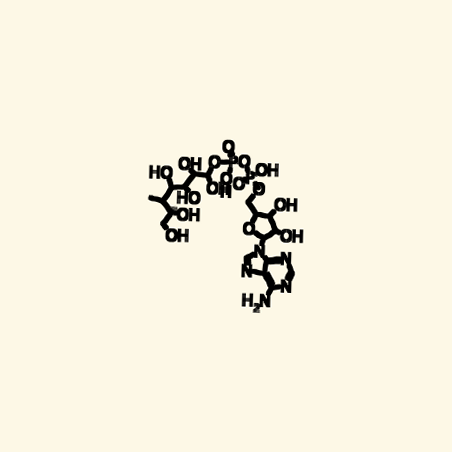 CC(C(O)C(O)C(O)C(O)OP(=O)(O)OP(=O)(O)OCC1OC(n2cnc3c(N)ncnc32)C(O)C1O)[C@@H](O)CO